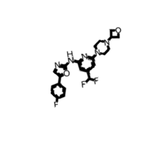 Fc1ccc(-c2cnc(Nc3cc(C(F)F)cc(N4CCN(C5COC5)CC4)n3)o2)cc1